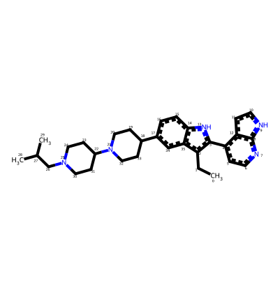 CCc1c(-c2ccnc3[nH]ccc23)[nH]c2ccc(C3CCN(C4CCN(CC(C)C)CC4)CC3)cc12